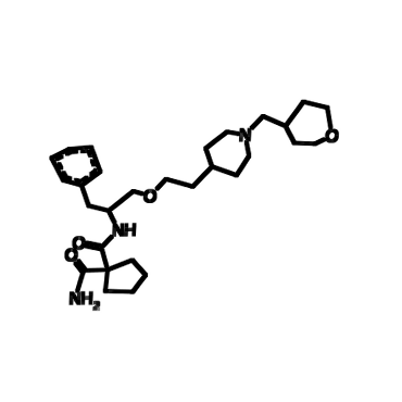 NC(=O)C1(C(=O)NC(COCCC2CCN(CC3CCOCC3)CC2)Cc2ccccc2)CCCC1